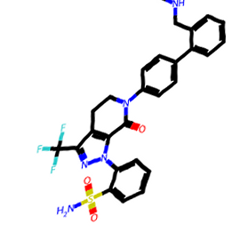 CNCc1ccccc1-c1ccc(N2CCc3c(C(F)(F)F)nn(-c4ccccc4S(N)(=O)=O)c3C2=O)cc1